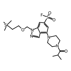 CC(C)C(=O)N1CCN(c2cc(S(=O)(=O)F)cc3c2cnn3COCC[Si](C)(C)C)CC1